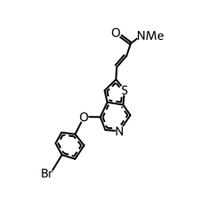 CNC(=O)C=Cc1cc2c(Oc3ccc(Br)cc3)cncc2s1